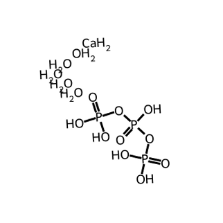 O.O.O.O.O.O=P(O)(O)OP(=O)(O)OP(=O)(O)O.[CaH2]